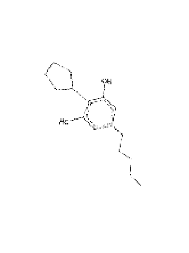 CCCCCc1cc(O)c(C2CCCC2)c(O)c1